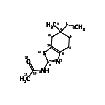 CCC1(C)CCc2nc(NC(C)=O)sc2C1